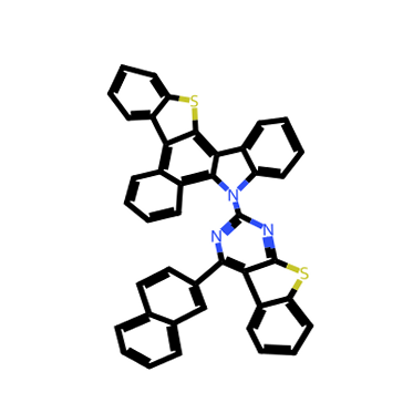 c1ccc2cc(-c3nc(-n4c5ccccc5c5c6sc7ccccc7c6c6ccccc6c54)nc4sc5ccccc5c34)ccc2c1